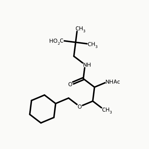 CC(=O)NC(C(=O)NCC(C)(C)C(=O)O)C(C)OCC1CCCCC1